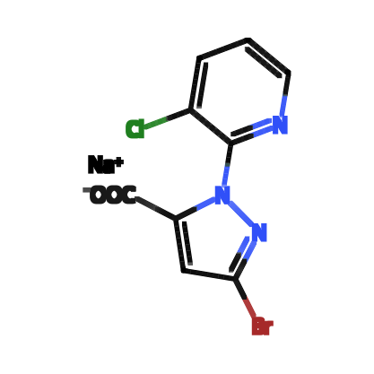 O=C([O-])c1cc(Br)nn1-c1ncccc1Cl.[Na+]